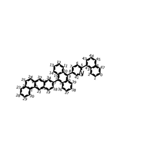 c1ccc2c(-c3ccc(-c4c5ccccc5c(-c5ccc6cc7c(ccc8ccccc87)cc6c5)c5ccccc45)cn3)cccc2c1